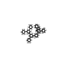 c1ccc(-c2cc(-c3ccccc3)cc(-c3cc(-c4ccccc4)cc(-c4cccc(-c5nc(-c6ccccc6)c6sc7ccccc7c6n5)c4)c3)c2)cc1